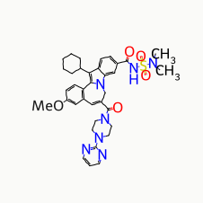 COc1ccc2c(c1)C=C(C(=O)N1CCN(c3ncccn3)CC1)Cn1c-2c(C2CCCCC2)c2ccc(C(=O)NS(=O)(=O)N(C)C)cc21